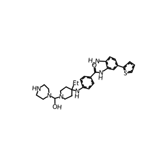 CCC1(Nc2ccc(C(=O)Nc3cc(-c4cccs4)ccc3N)cc2)CCN(C(O)N2CCNCC2)CC1